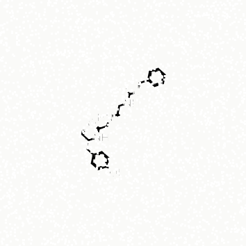 O=C[C@H](Cc1ccc(O)cc1)NC(=O)CNC(=O)CNC(=O)OCc1ccccc1